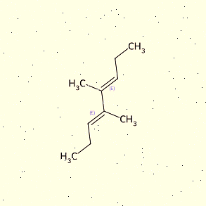 CC/C=C(C)/C(C)=C/CC